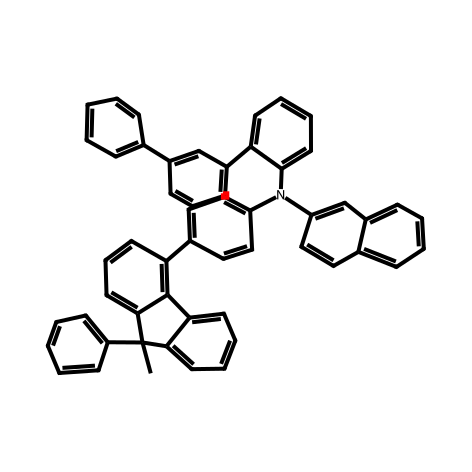 CC1(c2ccccc2)c2ccccc2-c2c(-c3ccc(N(c4ccc5ccccc5c4)c4ccccc4-c4cccc(-c5ccccc5)c4)cc3)cccc21